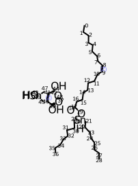 CCCCCCCC/C=C\CCCCCCCC(=O)[O][SnH]([CH2]CCCCCCC)[CH2]CCCCCCC.O=C(O)/C=C\C(=O)O.[CH3][SnH]([CH3])[OH]